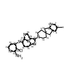 Cc1cnc2c(c1)CC1(CCN(c3nc4ccc(Sc5ccnc(N)c5Cl)c5ncc3n45)CC1)C2